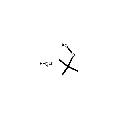 CC(=O)OC(C)(C)C.[BH4-].[Li+]